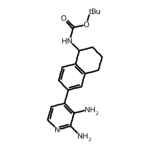 CC(C)(C)OC(=O)NC1CCCc2cc(-c3ccnc(N)c3N)ccc21